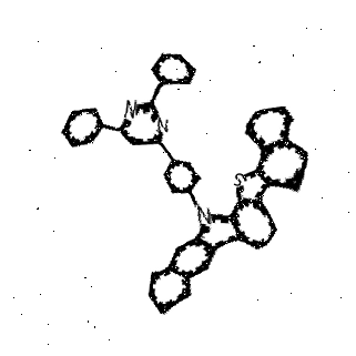 c1ccc(-c2cc(-c3ccc(-n4c5cc6ccccc6cc5c5ccc6c7ccc8ccccc8c7sc6c54)cc3)nc(-c3ccccc3)n2)cc1